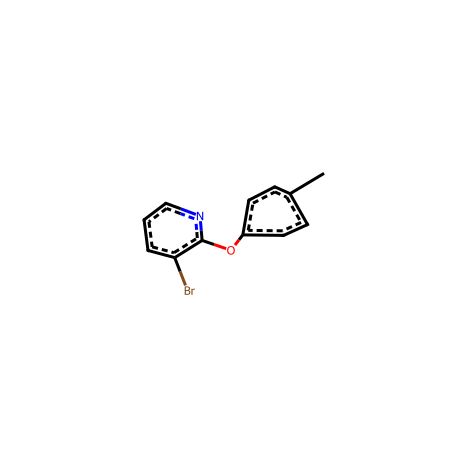 Cc1ccc(Oc2ncccc2Br)cc1